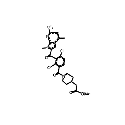 COC(=O)CC1CCN(C(=O)c2ccc(Cl)c(C(=O)c3cc4c(C)cc(C(F)(F)F)nc4n3C)c2Cl)CC1